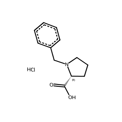 Cl.O=C(O)[C@H]1CCCN1Cc1ccccc1